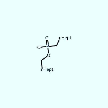 CCCCCCCCOP([O])(=O)CCCCCCCC